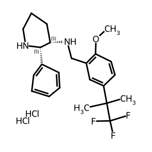 COc1ccc(C(C)(C)C(F)(F)F)cc1CN[C@H]1CCCN[C@H]1c1ccccc1.Cl.Cl